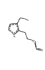 CCc1cc[nH]c1CCOC=O